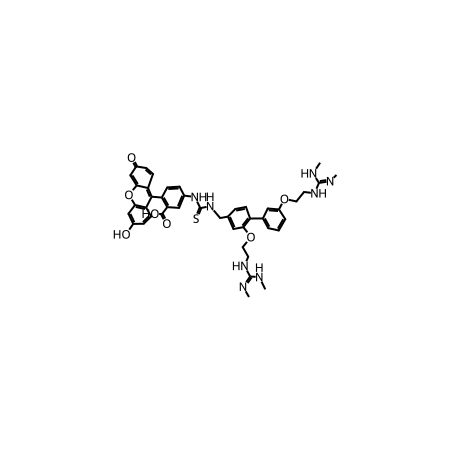 C/N=C(\NC)NCCOc1cccc(-c2ccc(CNC(=S)Nc3ccc(-c4c5ccc(=O)cc-5oc5cc(O)ccc45)c(C(=O)O)c3)cc2OCCN/C(=N/C)NC)c1